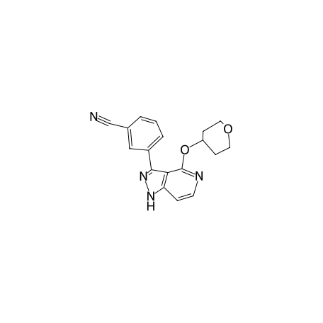 N#Cc1cccc(-c2n[nH]c3ccnc(OC4CCOCC4)c23)c1